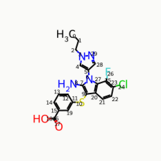 CCCn1cc(-n2c(N)c(Sc3cccc(C(=O)O)c3)c3ccc(Cl)c(F)c32)cn1